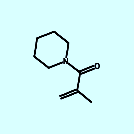 C=C(C)C(=O)N1CCCCC1